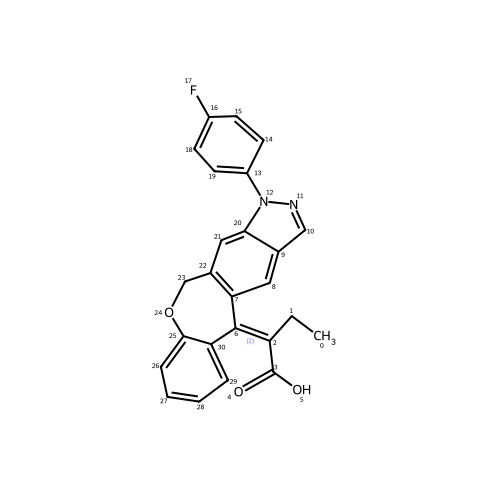 CC/C(C(=O)O)=C1\c2cc3cnn(-c4ccc(F)cc4)c3cc2COc2ccccc21